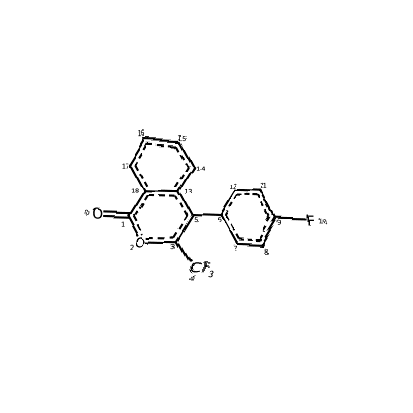 O=c1oc(C(F)(F)F)c(-c2ccc(F)cc2)c2ccccc12